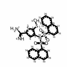 CSc1sc(C(=N)N)cc1N(S(=O)(=O)c1cccc2ccccc12)S(=O)(=O)c1cccc2ccccc12